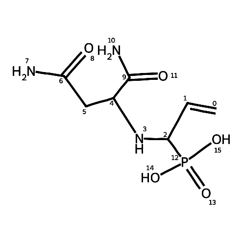 C=CC(NC(CC(N)=O)C(N)=O)P(=O)(O)O